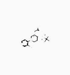 C[C@H]1CN(c2ccncc2N)C[C@@H](CC(=O)O)[C@@H]1O[Si](C)(C)C(C)(C)C